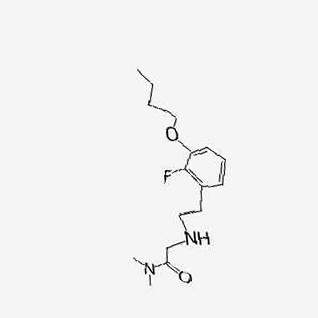 CCCCOc1cccc(CCNCC(=O)N(C)C)c1F